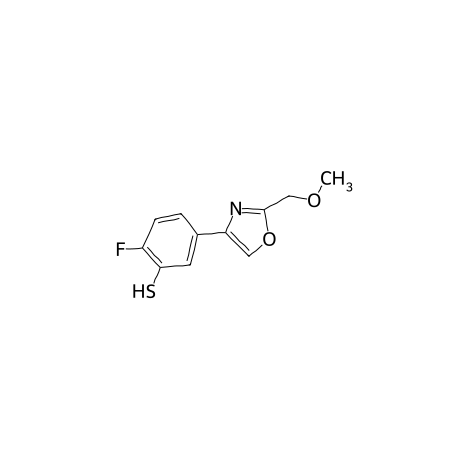 COCc1nc(-c2ccc(F)c(S)c2)co1